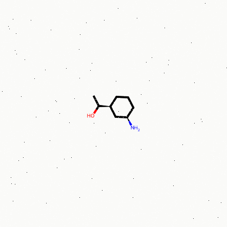 CC(O)[C@H]1CCC[C@@H](N)C1